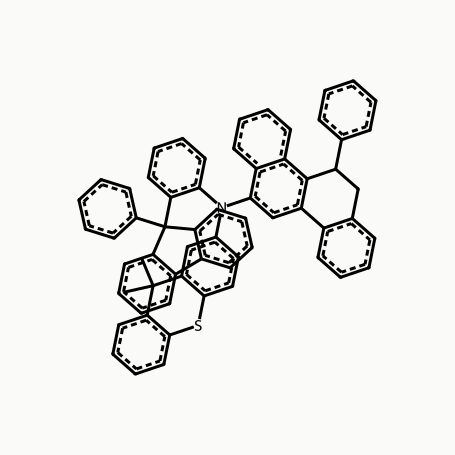 CC1(C)c2ccccc2Sc2ccc(N(c3ccccc3C3(c4ccccc4)c4ccccc4-c4ccccc43)c3cc4c(c5ccccc35)C(c3ccccc3)Cc3ccccc3-4)cc21